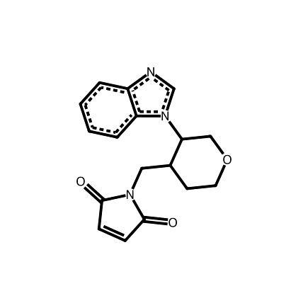 O=C1C=CC(=O)N1CC1CCOCC1n1cnc2ccccc21